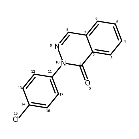 O=c1c2ccccc2cnn1-c1ccc(Cl)cc1